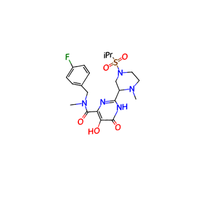 CC(C)S(=O)(=O)N1CCN(C)C(c2nc(C(=O)N(C)Cc3ccc(F)cc3)c(O)c(=O)[nH]2)C1